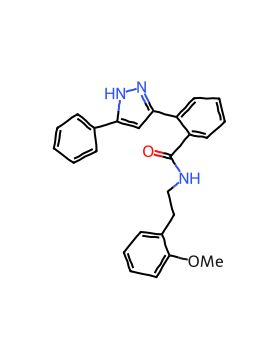 COc1ccccc1CCNC(=O)c1ccccc1-c1cc(-c2ccccc2)[nH]n1